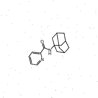 O=C(NC12CC3CC(CC(C3)C1)C2)c1ccccn1